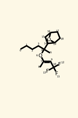 CCCCC(C)(OC(C)=CC(F)(F)F)C1CC2CCC1O2